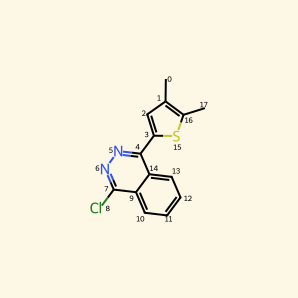 Cc1cc(-c2nnc(Cl)c3ccccc23)sc1C